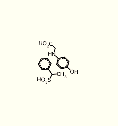 CC(c1ccccc1)S(=O)(=O)O.O=C(O)CNc1ccc(O)cc1